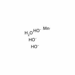 O.[Mn].[OH-].[OH-].[OH-]